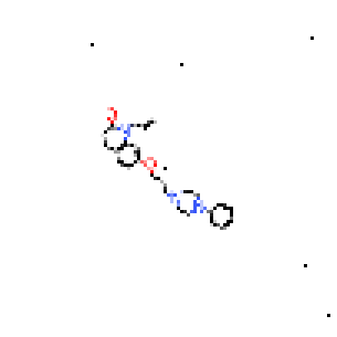 C=CCN1C(=O)CCc2ccc(OCCCN3CCN(c4ccccc4)CC3)cc21